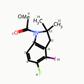 COC(=O)N1c2ccc(F)c(I)c2CC1(C)C